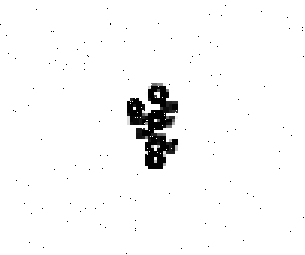 COC(=O)c1ccccc1CNC(=O)c1cc(F)c(NC2CCCCC2)cc1NC1CCCC1